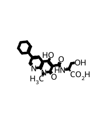 Cn1c(=O)c(C(=O)N[C@@H](CO)C(=O)O)c(O)c2cc(C3=CCCCC3)cnc21